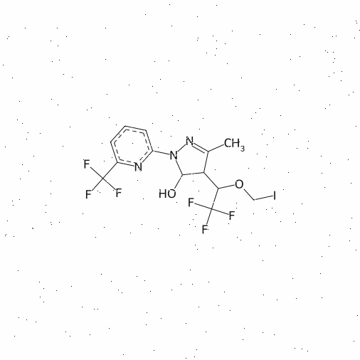 CC1=NN(c2cccc(C(F)(F)F)n2)C(O)C1C(OCI)C(F)(F)F